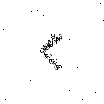 CCOC(C)=O.CCOC(C)=O.CCOC(C)=O.CCOC(C)=O.CCOC(C)=O.CCOC(C)=O.CCOC(C)=O.CCOC(C)=O.CCOC(C)=O.O